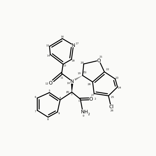 NC(=O)[C@@H](c1ccccc1)N(C(=O)c1cccnc1)[C@@H]1COc2ccc(Cl)cc21